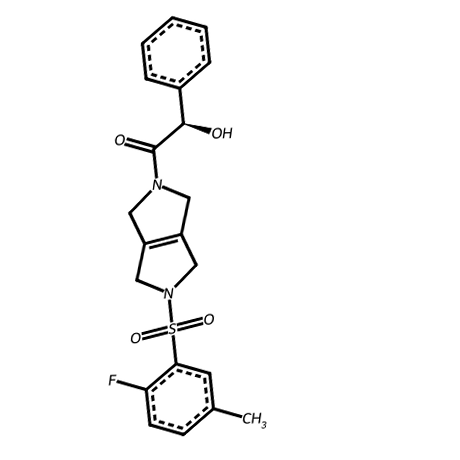 Cc1ccc(F)c(S(=O)(=O)N2CC3=C(CN(C(=O)[C@H](O)c4ccccc4)C3)C2)c1